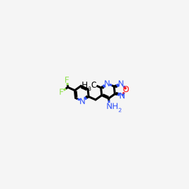 Cc1nc2nonc2c(N)c1Cc1ccc(C(F)F)cn1